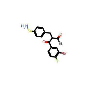 CCC(=O)C(Cc1ccc(SN)cc1)C(=O)c1ccc(F)c(Br)c1